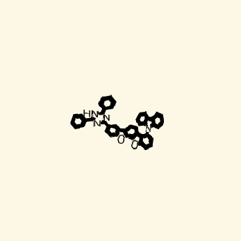 c1ccc(C2=NC(c3ccc4oc5c(ccc6c5oc5cccc(-n7c8ccccc8c8ccccc87)c56)c4c3)=NC(c3ccccc3)N2)cc1